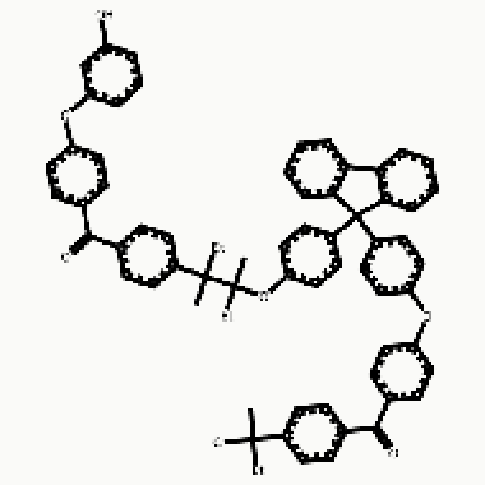 CCC(C)(Cl)c1ccc(C(=O)c2ccc(Oc3ccc(C4(c5ccc(OC(C)(CC)C(C)(CC)c6ccc(C(=O)c7ccc(Oc8cccc(O)c8)cc7)cc6)cc5)c5ccccc5-c5ccccc54)cc3)cc2)cc1